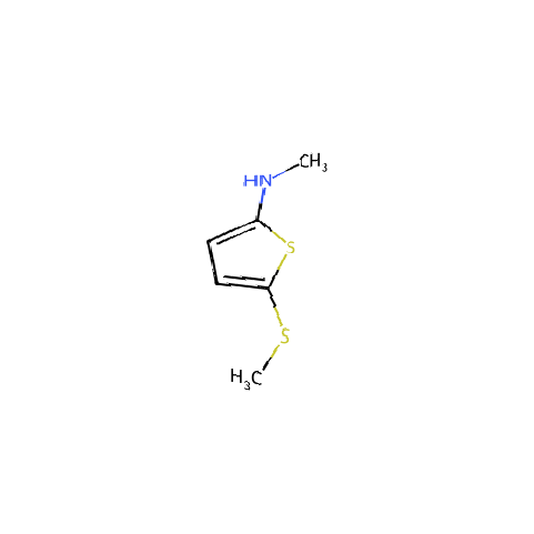 CNc1ccc(SC)s1